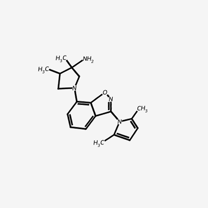 Cc1ccc(C)n1-c1noc2c(N3CC(C)C(C)(N)C3)cccc12